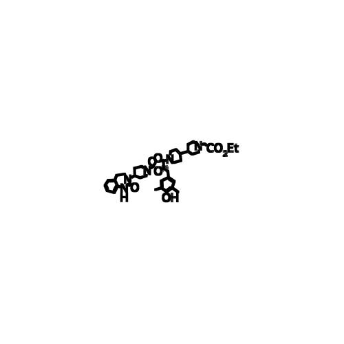 CCOC(=O)CN1CCC(C2CCN(C(=O)[C@@H](Cc3cc(C)c(O)c(C)c3)OC(=O)N3CCC(N4CCc5ccccc5NC4=O)CC3)CC2)CC1